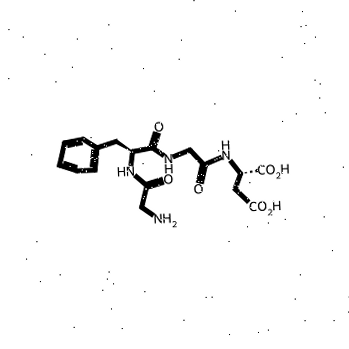 NCC(=O)N[C@@H](Cc1ccccc1)C(=O)NCC(=O)N[C@@H](CC(=O)O)C(=O)O